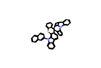 c1ccc2c(c1)Sc1c(ccc3c4ccccc4n(-c4ccc5ccccc5c4)c13)C21c2ccccc2-n2c3ccccc3c3cccc1c32